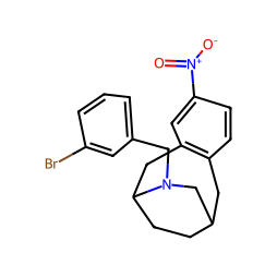 O=[N+]([O-])c1ccc2c(c1)CC1CCC(C2)CN1Cc1cccc(Br)c1